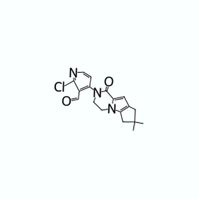 CC1(C)Cc2cc3n(c2C1)CCN(c1ccnc(Cl)c1C=O)C3=O